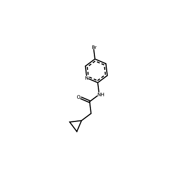 O=C(CC1CC1)Nc1ccc(Br)cn1